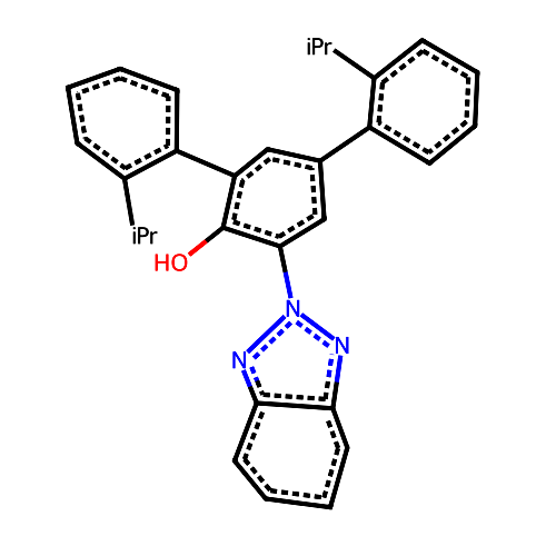 CC(C)c1ccccc1-c1cc(-c2ccccc2C(C)C)c(O)c(-n2nc3ccccc3n2)c1